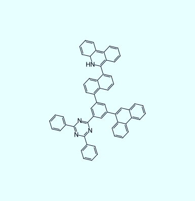 C1=CC2=c3ccccc3=C(c3cccc4c(-c5cc(-c6nc(-c7ccccc7)nc(-c7ccccc7)n6)cc(-c6cc7ccccc7c7ccccc67)c5)cccc34)NC2C=C1